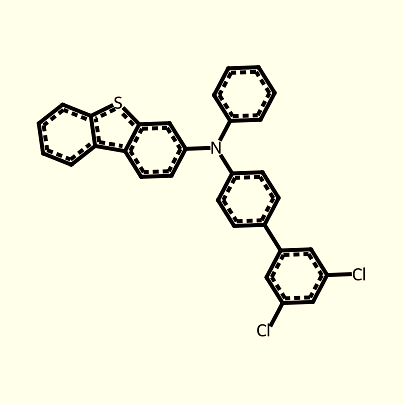 Clc1cc(Cl)cc(-c2ccc(N(c3ccccc3)c3ccc4c(c3)sc3ccccc34)cc2)c1